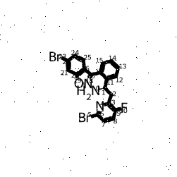 N[C@@H](Cc1nc(Br)ccc1F)c1ccccc1-c1noc2cc(Br)ccc12